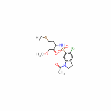 COCC(=O)C(CCSC)NS(=O)(=O)c1cc2c(cc1Br)CCN2C(C)=O